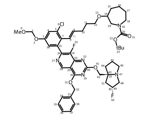 COCOc1cc(Cl)c(/C=C/CCCOC2CCCCN(C(=O)OC(C)(C)C)C2)c(-c2ncc3c(OCc4ccccc4)nc(OC[C@@]45CCCN4C[C@H](F)C5)nc3c2F)c1